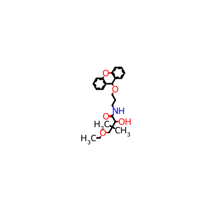 CCOCC(C)(C)C(O)C(=O)NCCCOC1c2ccccc2Oc2ccccc21